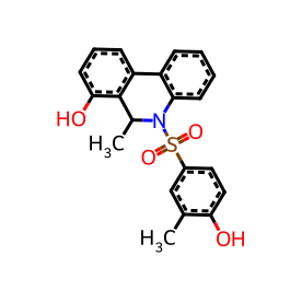 Cc1cc(S(=O)(=O)N2c3ccccc3-c3cccc(O)c3C2C)ccc1O